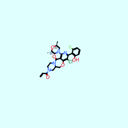 C=CC(=O)N1CCN2C(=O)c3c(N4C[C@H](C)O[C@@H](C)C4)nc(-c4c(O)cccc4F)c(Cl)c3OCC2C1